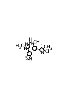 Cc1nc(N[C@@H](C)c2cccc(-c3cnc(Cl)c(C)c3)c2)cc(-c2ccc3ncsc3c2)n1